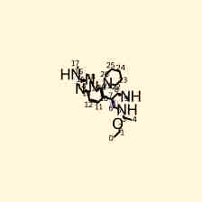 CCOC(C)N/C=C(\C=N)c1ccc2nc(NC)nn2c1N1CCCCC1